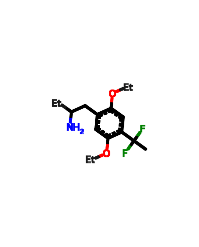 CCOc1cc(C(C)(F)F)c(OCC)cc1CC(N)CC